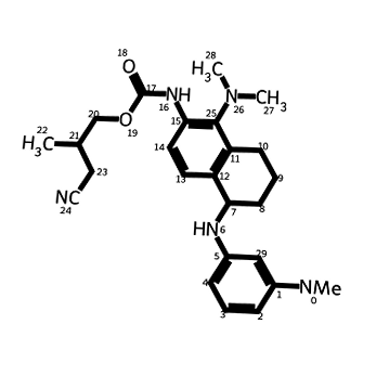 CNc1cccc(NC2CCCc3c2ccc(NC(=O)OCC(C)CC#N)c3N(C)C)c1